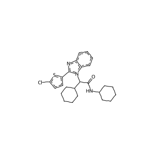 O=C(NC1CCCCC1)C(C1CCCCC1)n1c(-c2ccc(Cl)s2)nc2ccccc21